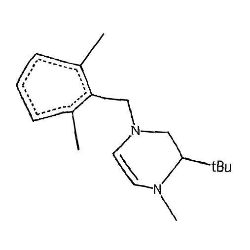 Cc1cccc(C)c1CN1C=CN(C)C(C(C)(C)C)C1